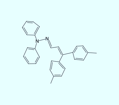 Cc1ccc(C(=C/C=N/N(c2ccccc2)c2ccccc2)c2ccc(C)cc2)cc1